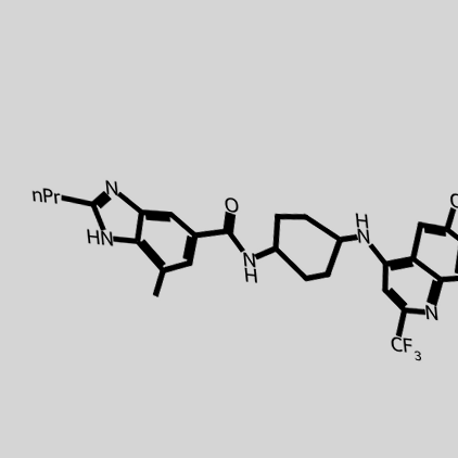 CCCc1nc2cc(C(=O)NC3CCC(Nc4cc(C(F)(F)F)nc5ccc(Cl)cc45)CC3)cc(C)c2[nH]1